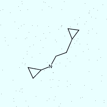 C(CC1CC1)[N]C1CC1